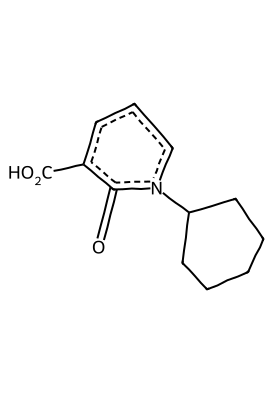 O=C(O)c1cccn(C2CCCCC2)c1=O